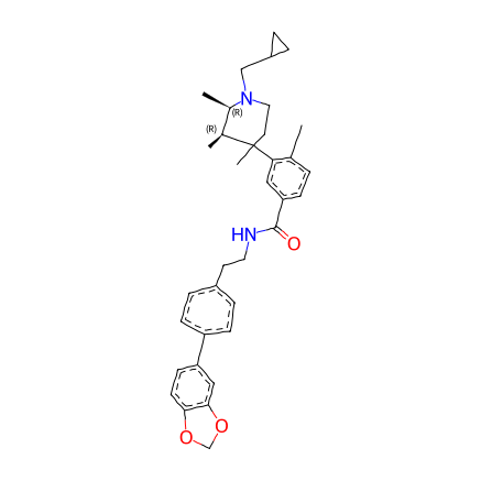 Cc1ccc(C(=O)NCCc2ccc(-c3ccc4c(c3)OCO4)cc2)cc1C1(C)CCN(CC2CC2)[C@H](C)[C@@H]1C